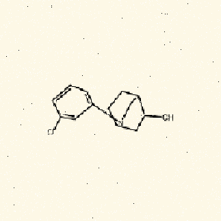 OC1CC2CCC1CN2c1cccc(Cl)c1